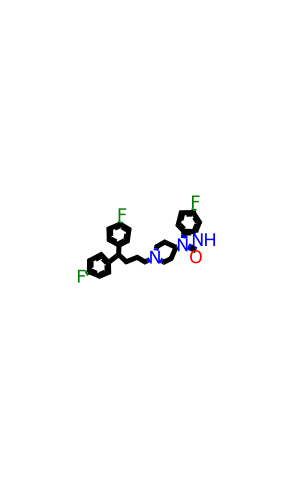 O=c1[nH]c2cc(F)ccc2n1C1CCN(CCCC(c2ccc(F)cc2)c2ccc(F)cc2)CC1